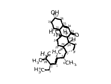 CC[C@H](C=C[C@@H](C)[C@H]1CC[C@H]2[C@@H]3C(=O)C=C4C[C@@H](O)CC[C@]4(C)[C@H]3CC[C@]12C)C(C)C